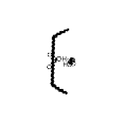 CCCCCCCC/C=C\CCCCCCCC(=O)CCN(CCO)CCC(=O)CCCCCCC/C=C\CCCCCCCC.COS(=O)(=O)O